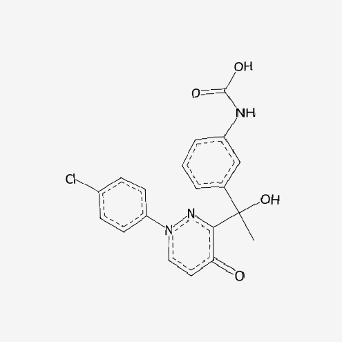 CC(O)(c1cccc(NC(=O)O)c1)c1nn(-c2ccc(Cl)cc2)ccc1=O